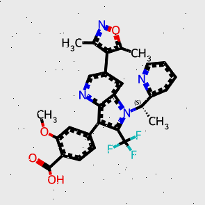 COc1cc(-c2c(C(F)(F)F)n([C@@H](C)c3ccccn3)c3cc(-c4c(C)noc4C)cnc23)ccc1C(=O)O